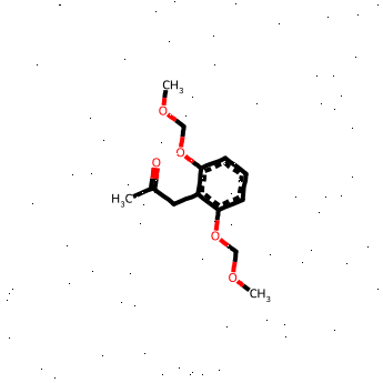 COCOc1cccc(OCOC)c1CC(C)=O